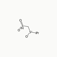 CC(C)[S+]([O-])C[SH](=O)=O